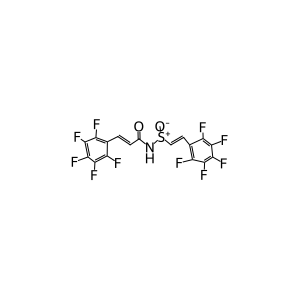 O=C(C=Cc1c(F)c(F)c(F)c(F)c1F)N[S+]([O-])C=Cc1c(F)c(F)c(F)c(F)c1F